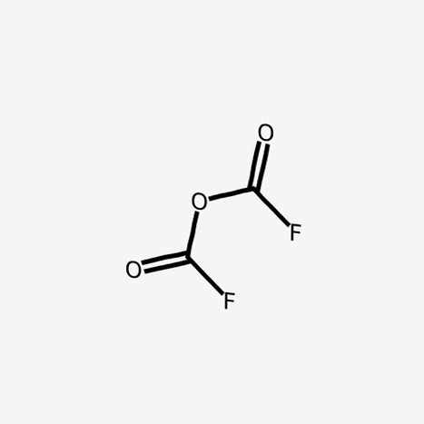 O=C(F)OC(=O)F